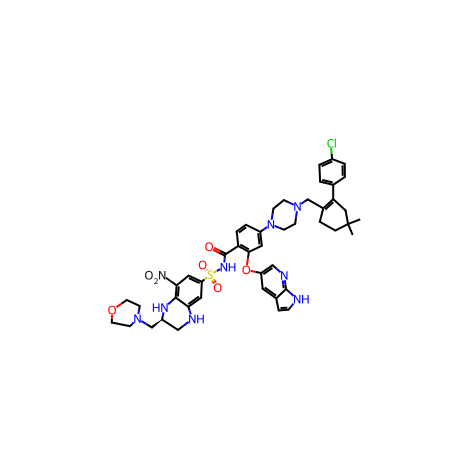 CC1(C)CCC(CN2CCN(c3ccc(C(=O)NS(=O)(=O)c4cc5c(c([N+](=O)[O-])c4)N[C@H](CN4CCOCC4)CN5)c(Oc4cnc5[nH]ccc5c4)c3)CC2)=C(c2ccc(Cl)cc2)C1